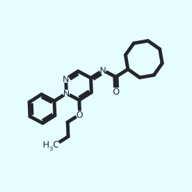 CCCOc1c/c(=N\C(=O)C2CCCCCCC2)cnn1-c1ccccc1